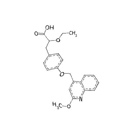 CCOC(Cc1ccc(OCc2cc(OC)nc3ccccc23)cc1)C(=O)O